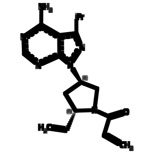 C=CC(=O)N1C[C@H](n2nc(C(C)C)c3c(N)ncnc32)C[C@H]1C=C